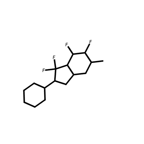 CC1CC2CC(C3CCCCC3)C(F)(F)C2C(F)C1F